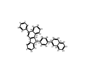 c1ccc(-c2cc3c4ccccc4n(-c4ccc(-c5ccc6ccccc6c5)cc4)c3c3ccccc23)cc1